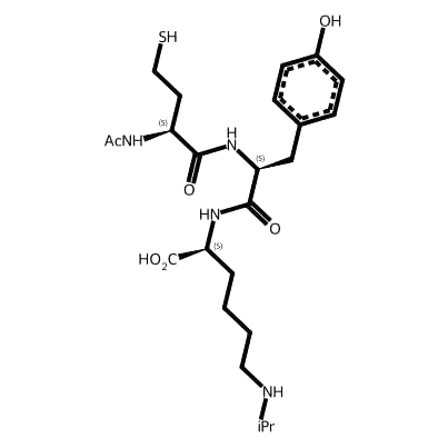 CC(=O)N[C@@H](CCS)C(=O)N[C@@H](Cc1ccc(O)cc1)C(=O)N[C@@H](CCCCNC(C)C)C(=O)O